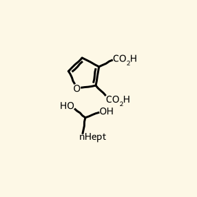 CCCCCCCC(O)O.O=C(O)c1ccoc1C(=O)O